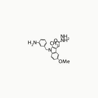 COc1ccc2c(c1)c(CC(=O)NN)c(C)n2Cc1cccc(N)c1